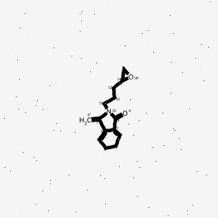 C=C1C2=CCCC=C2C(=O)N1CCCC1CO1